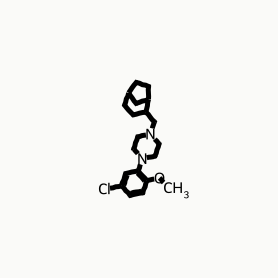 COc1ccc(Cl)cc1N1CCN(CC2CCC3CCC2C3)CC1